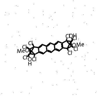 COC1(CO)C2(Cl)C(Cl)=C(Cl)C1(Cl)c1cc3cc4cc5c(cc4cc3cc12)C1(Cl)C(Cl)=C(Cl)C5(Cl)C1(CO)OC